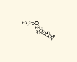 N[C@@H](CC(=O)N1CCSC1C(=O)NCc1cccc(OCC(=O)O)c1)Cc1cc(F)c(F)cc1F